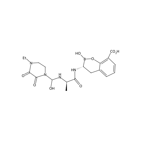 CCN1CCN(C(O)N[C@H](C)C(=O)N[C@H]2Cc3cccc(C(=O)O)c3OB2O)C(=O)C1=O